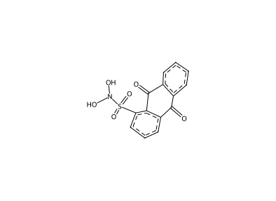 O=C1c2ccccc2C(=O)c2c1cccc2S(=O)(=O)N(O)O